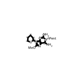 CCC[C@@H](C)N1C(N)=Nc2c(nc(OC)n2C2CCCCO2)C1N